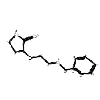 O=C1OCCC1OCCOCc1ccccc1